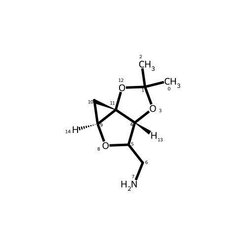 CC1(C)O[C@@H]2C(CN)O[C@H]3C[C@]32O1